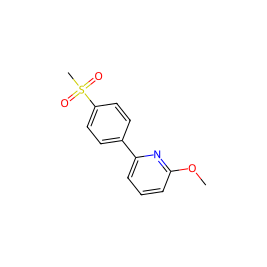 COc1cccc(-c2ccc(S(C)(=O)=O)cc2)n1